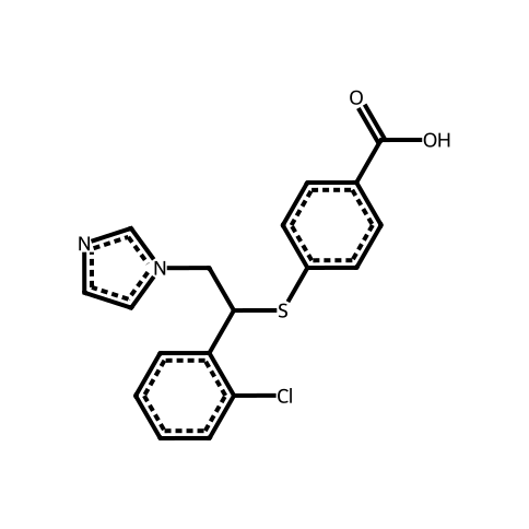 O=C(O)c1ccc(SC(Cn2ccnc2)c2ccccc2Cl)cc1